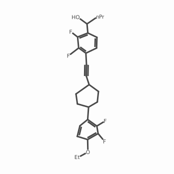 CCCC(O)c1ccc(C#CC2CCC(c3ccc(OCC)c(F)c3F)CC2)c(F)c1F